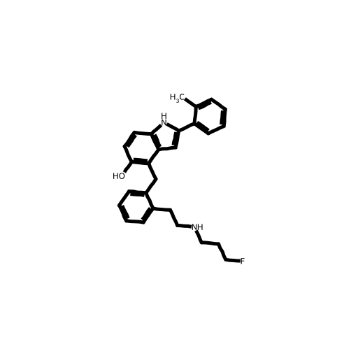 Cc1ccccc1-c1cc2c(Cc3ccccc3CCNCCCF)c(O)ccc2[nH]1